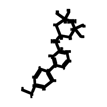 CSc1ccc(-c2ccnc(NC3CC(C)(C)NC(C)(C)C3)n2)cc1